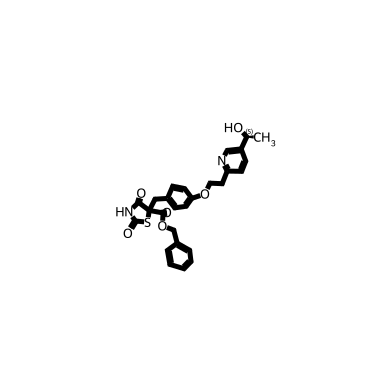 C[C@H](O)c1ccc(CCOc2ccc(CC3(C(=O)OCc4ccccc4)SC(=O)NC3=O)cc2)nc1